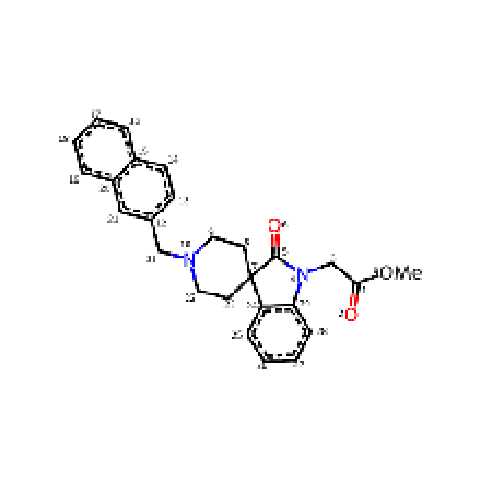 COC(=O)CN1C(=O)C2(CCN(Cc3ccc4ccccc4c3)CC2)c2ccccc21